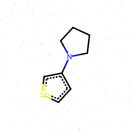 c1cc(N2CCCC2)cs1